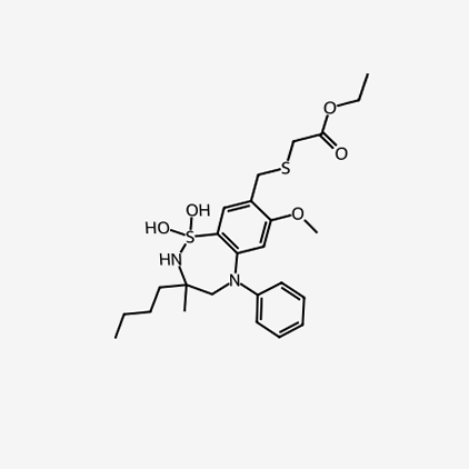 CCCCC1(C)CN(c2ccccc2)c2cc(OC)c(CSCC(=O)OCC)cc2S(O)(O)N1